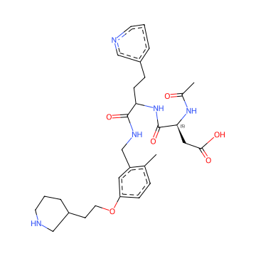 CC(=O)N[C@@H](CC(=O)O)C(=O)NC(CCc1cccnc1)C(=O)NCc1cc(OCCC2CCCNC2)ccc1C